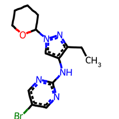 CCc1nn(C2CCCCO2)cc1Nc1ncc(Br)cn1